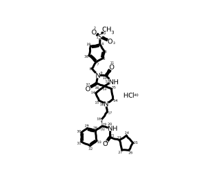 CS(=O)(=O)c1ccc(CN2C(=O)NC3(CCN(CC[C@H](NC(=O)C4CCCC4)c4ccccc4)CC3)C2=O)cc1.Cl